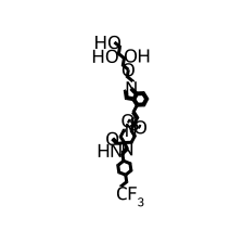 O=C1NC(C2CCC(CCC(F)(F)F)CC2)=NC12CCN(S(=O)(=O)C=Cc1cccc3c1ccn3CCOC[C@H](O)[C@@H](O)CO)CC2